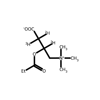 [2H]C(C[N+](C)(C)C)(OC(=O)CC)C([2H])([2H])C(=O)[O-]